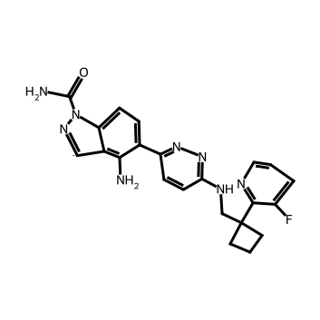 NC(=O)n1n[c]c2c(N)c(-c3ccc(NCC4(c5ncccc5F)CCC4)nn3)ccc21